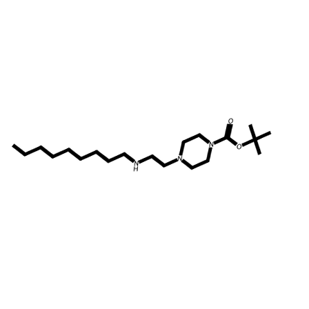 CCCCCCCCCNCCN1CCN(C(=O)OC(C)(C)C)CC1